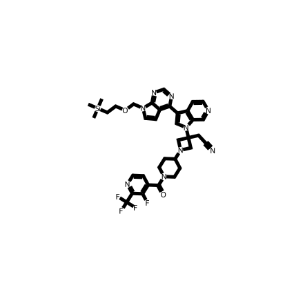 C[Si](C)(C)CCOCn1ccc2c(-c3cn(C4(CC#N)CN(C5CCN(C(=O)c6ccnc(C(F)(F)F)c6F)CC5)C4)c4cnccc34)ncnc21